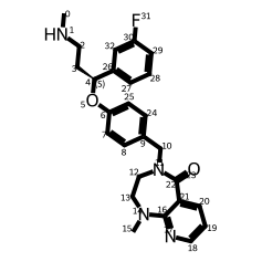 CNCC[C@H](Oc1ccc(CN2CCN(C)c3ncccc3C2=O)cc1)c1cccc(F)c1